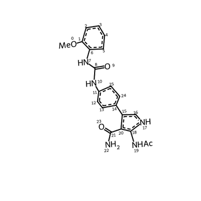 COc1ccccc1NC(=O)Nc1ccc(-c2c[nH]c(NC(C)=O)c2C(N)=O)cc1